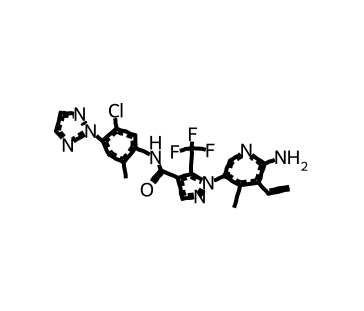 C=Cc1c(N)ncc(-n2ncc(C(=O)Nc3cc(Cl)c(-n4nccn4)cc3C)c2C(F)(F)F)c1C